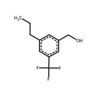 CCCc1cc(CO)cc(C(F)(F)F)c1